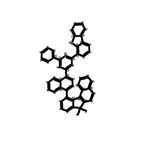 CC1(C)c2cccc(-c3ccc(-c4cc(-c5cccc6c5oc5ccccc56)nc(-c5ccccc5)n4)c4ccccc34)c2-c2c1ccc1ccccc21